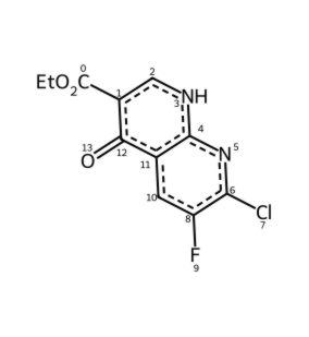 CCOC(=O)c1c[nH]c2nc(Cl)c(F)cc2c1=O